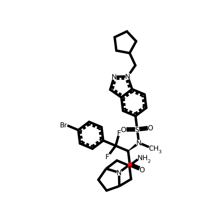 CN([C@@H](C(=O)N1C2CCC1CC(N)C2)C(F)(F)c1ccc(Br)cc1)S(=O)(=O)c1ccc2c(cnn2CC2CCCC2)c1